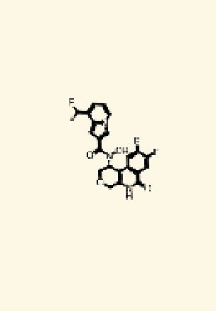 CN(C(=O)c1cc2c(C(F)F)cccn2c1)[C@H]1COCc2[nH]c(=O)c3cc(F)c(F)cc3c21